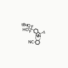 Cc1cccc(C#N)c1Cn1nc(C2CC2)c2ccc(C(F)(F)C(O)OC(C)(C)C)cc21